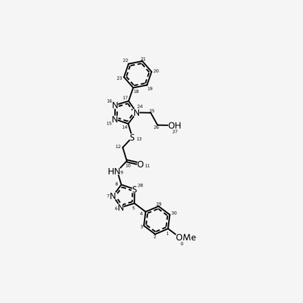 COc1ccc(-c2nnc(NC(=O)CSc3nnc(-c4ccccc4)n3CCO)s2)cc1